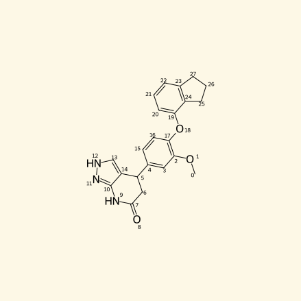 COc1cc(C2CC(=O)Nc3n[nH]cc32)ccc1Oc1cccc2c1CCC2